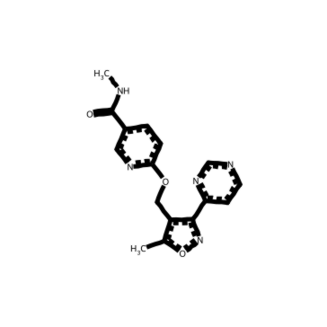 CNC(=O)c1ccc(OCc2c(-c3ccncn3)noc2C)nc1